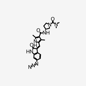 Cc1[nH]c(/C=C2\C(=O)Nc3cc(N=[N+]=[N-])ccc32)c(C)c1C(=O)N[C@H]1CCN(C(=O)N(C)C)C1